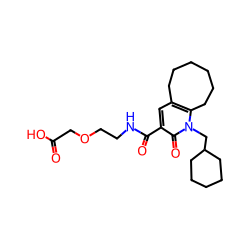 O=C(O)COCCNC(=O)c1cc2c(n(CC3CCCCC3)c1=O)CCCCCC2